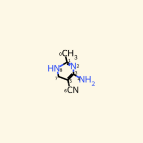 CC1=NC(N)=C(C#N)CN1